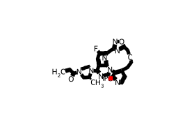 C=CC(=O)N1CCN(c2nc(=O)n3c4nc(c(F)cc24)-c2noc(n2)CCCCc2ccnc(C(C)C)c2-3)[C@@H](C)C1